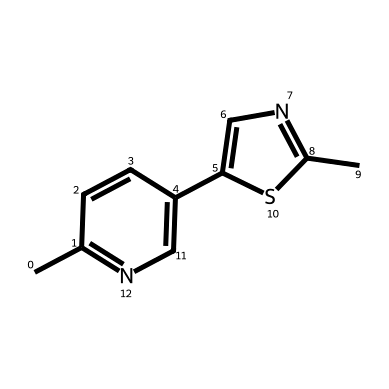 Cc1ccc(-c2cnc(C)s2)cn1